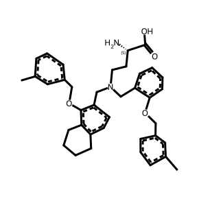 Cc1cccc(COc2ccccc2CN(CC[C@H](N)C(=O)O)Cc2ccc3c(c2OCc2cccc(C)c2)CCCC3)c1